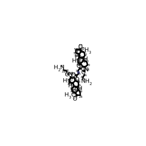 C[C@]12CC[C@@H]3[C@@H](CCC4(OC(=O)/C=C/C(=O)OC56CC[C@@H]7[C@@H](CC[C@]8(C)C(=O)CC[C@@H]78)[C@@]5(C)CCC(=NOCCN)C6)CC(=NOCCN)CC[C@]34C)[C@@H]1CCC2=O